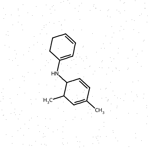 CC1=CC(C)C(NC2=CC=CCC2)C=C1